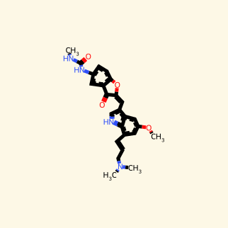 CNC(=O)Nc1ccc2c(c1)C(=O)C(=Cc1c[nH]c3c(/C=C/CN(C)C)cc(OC)cc13)O2